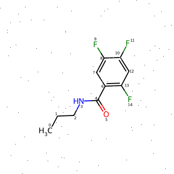 CCCNC(=O)c1cc(F)c(F)cc1F